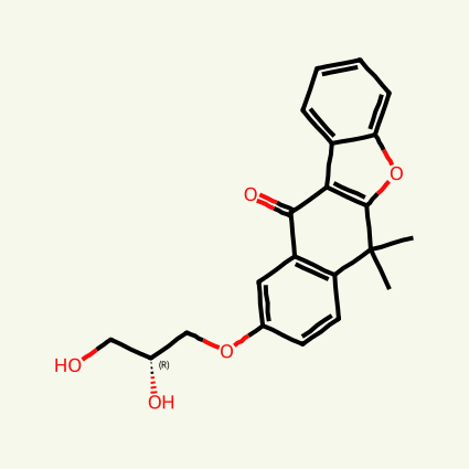 CC1(C)c2ccc(OC[C@H](O)CO)cc2C(=O)c2c1oc1ccccc21